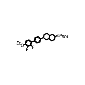 CCCCCC1CCC2CC(c3ccc(-c4ccc(OCC)c(F)c4F)cc3)CCC2C1